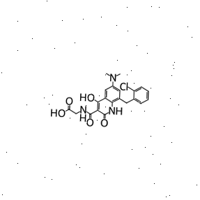 CN(C)c1cc(Cc2ccccc2Cl)c2[nH]c(=O)c(C(=O)NCC(=O)O)c(O)c2c1